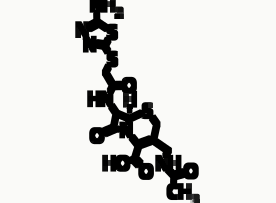 CC(=O)NCC1=C(C(=O)O)N2C(=O)C(NC(=O)CSc3nnc(N)s3)[C@H]2SC1